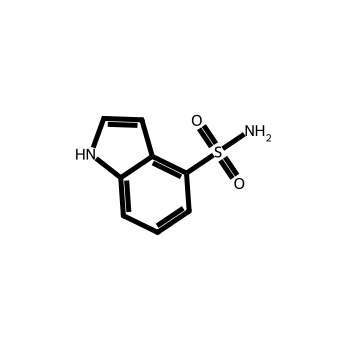 NS(=O)(=O)c1cccc2[nH]ccc12